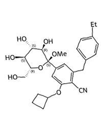 CCc1ccc(Cc2cc([C@]3(OC)O[C@H](CO)[C@@H](O)[C@H](O)[C@H]3O)cc(OC3CCC3)c2C#N)cc1